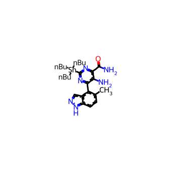 CCC[CH2][Sn]([CH2]CCC)([CH2]CCC)[c]1nc(C(N)=O)c(N)c(-c2c(C)ccc3[nH]ncc23)n1